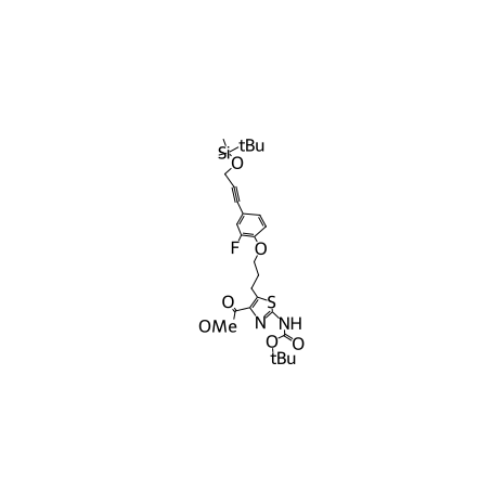 COC(=O)c1nc(NC(=O)OC(C)(C)C)sc1CCCOc1ccc(C#CCO[Si](C)(C)C(C)(C)C)cc1F